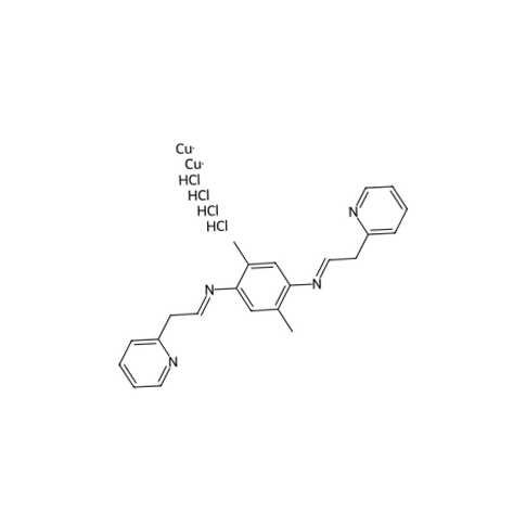 Cc1cc(N=CCc2ccccn2)c(C)cc1N=CCc1ccccn1.Cl.Cl.Cl.Cl.[Cu].[Cu]